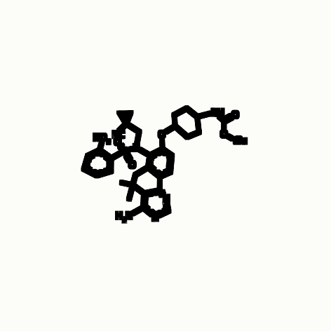 CC(C)(C)OC(=O)NC1CCC(Oc2ccc3c(c2N(CC2(C#N)CC2)S(=O)(=O)c2ccccc2[N+](=O)[O-])CC(C)(C)c2c(N)ncnc2-3)CC1